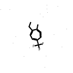 CCC1=CC=C(C(F)(F)F)C=C=C1C